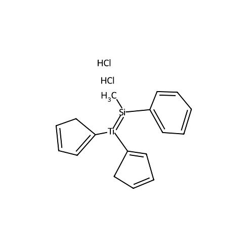 C[Si](c1ccccc1)=[Ti]([C]1=CC=CC1)[C]1=CC=CC1.Cl.Cl